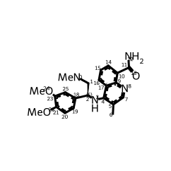 CNC[C@@H](Nc1c(C)cnc2c(C(N)=O)cccc12)c1ccc(OC)c(OC)c1